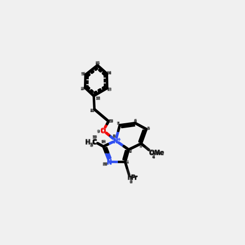 CCCC1=C2C(OC)=CC=C[N+]2(OCCc2ccccc2)C(C)=N1